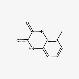 Cc1cccc2c1[N]C(=O)C(=O)N2